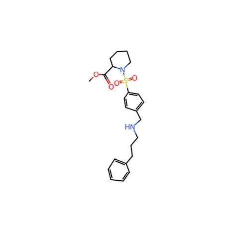 COC(=O)C1CCCCN1S(=O)(=O)c1ccc(CNCCCc2ccccc2)cc1